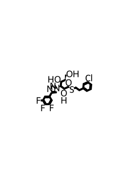 OC[C@H]1O[C@H](SCCc2cccc(Cl)c2)[C@H](O)[C@@H](n2cc(-c3cc(F)c(F)c(F)c3)nn2)[C@H]1O